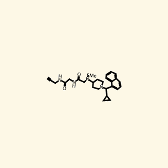 C#CCNC(=O)CNC(=O)CN(SC)C1CCN(C(c2cccc3ccccc23)C2CC2)CC1